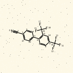 N#Cc1ccc(-c2ccc(C(F)(F)F)cc2C(F)(F)F)cc1